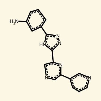 Nc1cccc(-c2nnc(-c3cncc(-c4cccnc4)n3)[nH]2)c1